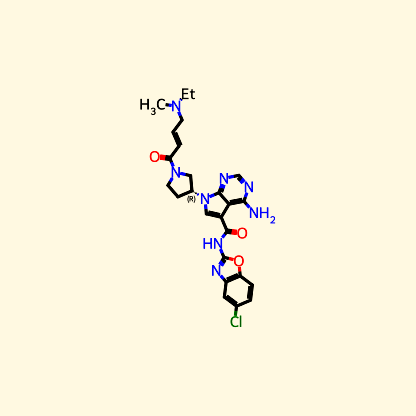 CCN(C)CC=CC(=O)N1CC[C@@H](n2cc(C(=O)Nc3nc4cc(Cl)ccc4o3)c3c(N)ncnc32)C1